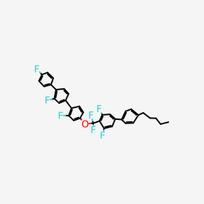 CCCCCc1ccc(-c2cc(F)c(C(F)(F)Oc3ccc(-c4ccc(-c5ccc(F)cc5)c(F)c4)c(F)c3)c(F)c2)cc1